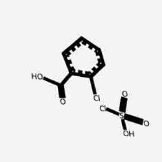 O=C(O)c1ccccc1Cl.O=S(=O)(O)Cl